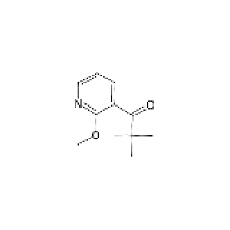 COc1ncccc1C(=O)C(C)(C)C